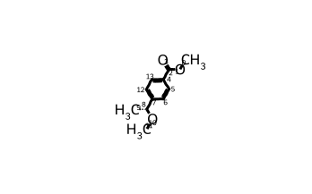 COC(=O)c1ccc([C@@H](C)OC)cc1